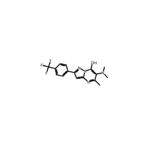 Cc1nc2cc(-c3ccc(C(F)(F)F)cc3)nn2c(O)c1N(C)C